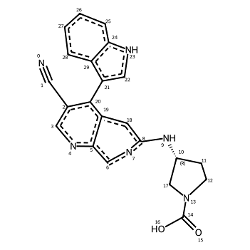 N#Cc1cnc2cnc(N[C@@H]3CCN(C(=O)O)C3)cc2c1-c1c[nH]c2ccccc12